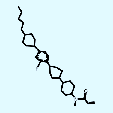 C=CC(=O)N(C)C1CCC(C2CCC(c3ccc(C4CCC(CCCCC)CC4)cc3F)CC2)CC1